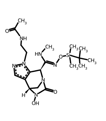 CN/C(=N\O[Si](C)(C)C(C)(C)C)[C@@H]1c2c(cnn2CCNC(C)=O)[C@@H]2CN1C(=O)N2O